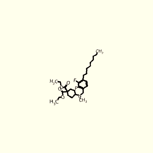 CCCCCCCCCc1ccc(CN(C)C2CCC(C(=O)OCC)(C(=O)OCC)CC2)c(F)c1F